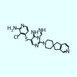 N=Cn1c(N2CCC3(CC2)Cc2ccncc2C3)ncc(Sc2ccnc(N)c2Cl)c1=N